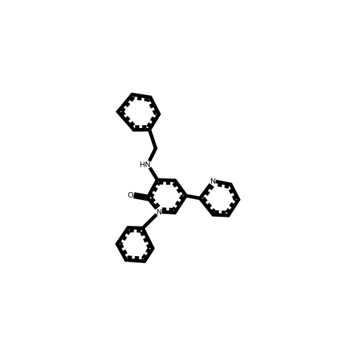 O=c1c(NCc2ccccc2)cc(-c2ccccn2)cn1-c1ccccc1